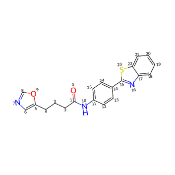 O=C(CCCc1cnco1)Nc1ccc(-c2nc3ccccc3s2)cc1